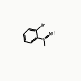 CS(=N)c1ccccc1Br